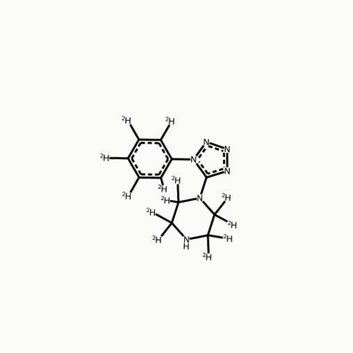 [2H]c1c([2H])c([2H])c(-n2nnnc2N2C([2H])([2H])C([2H])([2H])NC([2H])([2H])C2([2H])[2H])c([2H])c1[2H]